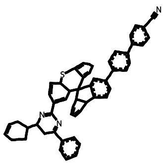 N#Cc1ccc(-c2ccc(-c3ccc4c(c3)C3(C5=CCCC=C5SC5C=CC(C6=NC(C7CC=CCC7)CC(c7ccccc7)=N6)=CC53)C3C=CC=CC43)cc2)cc1